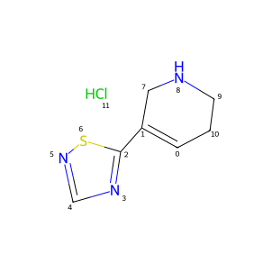 C1=C(c2ncns2)CNCC1.Cl